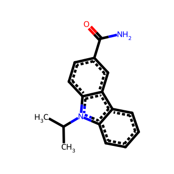 CC(C)n1c2ccccc2c2cc(C(N)=O)ccc21